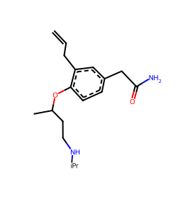 C=CCc1cc(CC(N)=O)ccc1OC(C)CCNC(C)C